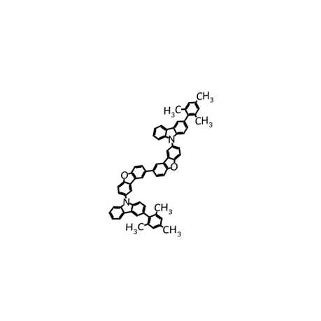 Cc1cc(C)c(-c2ccc3c(c2)c2ccccc2n3-c2ccc3oc4ccc(-c5ccc6oc7ccc(-n8c9ccccc9c9cc(-c%10c(C)cc(C)cc%10C)ccc98)cc7c6c5)cc4c3c2)c(C)c1